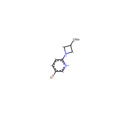 COC1CN(c2ccc(Br)cn2)C1